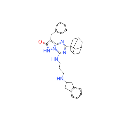 O=c1[nH]n2c(NCCCNC3Cc4ccccc4C3)nc(C34CC5CC(CC(C5)C3)C4)nc2c1Cc1ccccc1